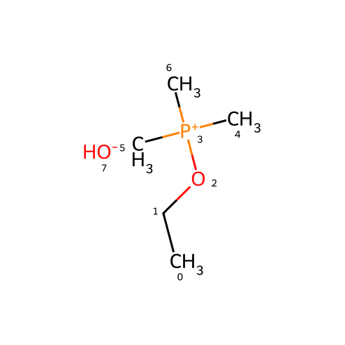 CCO[P+](C)(C)C.[OH-]